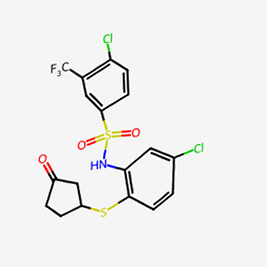 O=C1CCC(Sc2ccc(Cl)cc2NS(=O)(=O)c2ccc(Cl)c(C(F)(F)F)c2)C1